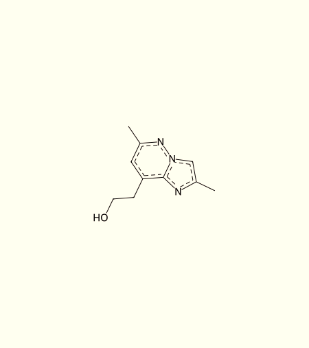 Cc1cn2nc(C)cc(CCO)c2n1